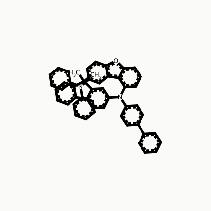 CC1(C)c2ccccc2-c2ccc(N(c3ccc(-c4ccccc4)cc3)c3cccc4oc5ccc(N(c6ccccc6)c6ccccc6)cc5c34)cc21